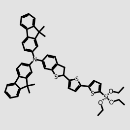 CCO[Si](OCC)(OCC)c1ccc(-c2ccc(C3Cc4ccc(N(c5ccc6c(c5)C(C)(C)c5ccccc5-6)c5ccc6c(c5)C(C)(C)c5ccccc5-6)cc4S3)s2)s1